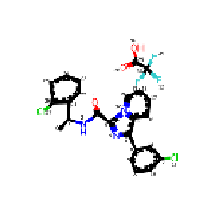 CC(NC(=O)c1nc(-c2cccc(Cl)c2)c2ccccn12)c1ccccc1Cl.O=C(O)C(F)(F)F